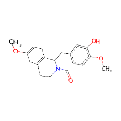 COC1=CCC2=C(CCN(C=O)C2Cc2ccc(OC)c(O)c2)C1